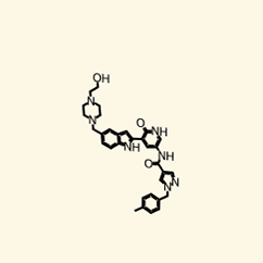 Cc1ccc(Cn2cc(C(=O)Nc3c[nH]c(=O)c(-c4cc5cc(CN6CCN(CCO)CC6)ccc5[nH]4)c3)cn2)cc1